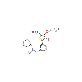 CC(=O)N(Cc1cccc(-c2sc(C(=O)O)c(OCC(=O)O)c2Br)c1)CC1CCCCC1